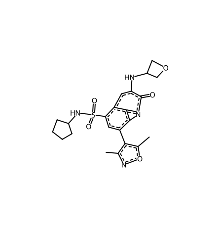 Cc1noc(C)c1-c1cc(S(=O)(=O)NC2CCCC2)c2cc(NC3COC3)c(=O)n3c2c1-3